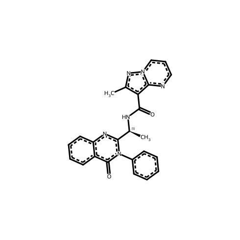 Cc1nn2cccnc2c1C(=O)N[C@@H](C)c1nc2ccccc2c(=O)n1-c1ccccc1